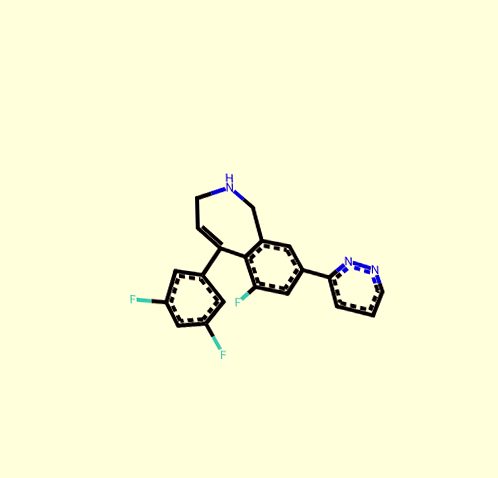 Fc1cc(F)cc(C2=CCNCc3cc(-c4cccnn4)cc(F)c32)c1